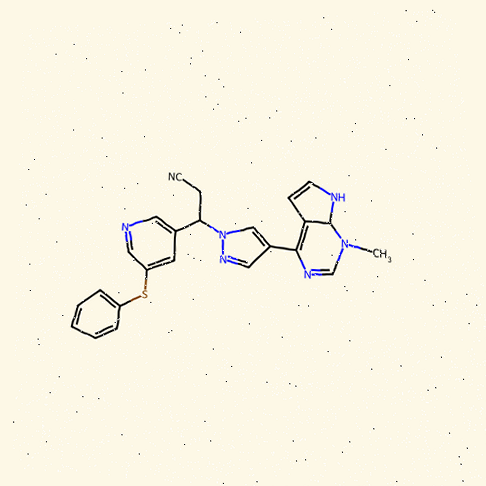 CN1C=NC(c2cnn(C(CC#N)c3cncc(Sc4ccccc4)c3)c2)=C2C=CNC21